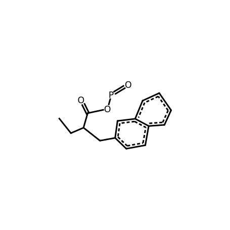 CCC(Cc1ccc2ccccc2c1)C(=O)OP=O